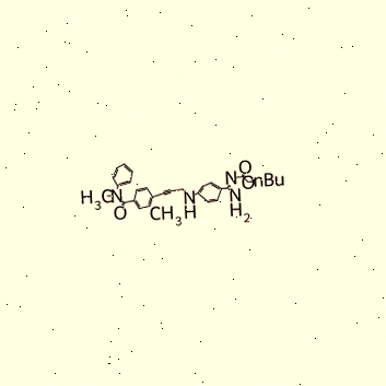 CCCCOC(=O)N=C(N)c1ccc(NCC#Cc2ccc(C(=O)N(C)c3ccccc3)cc2C)cc1